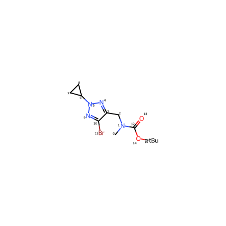 CN(Cc1nn(C2CC2)nc1Br)C(=O)OC(C)(C)C